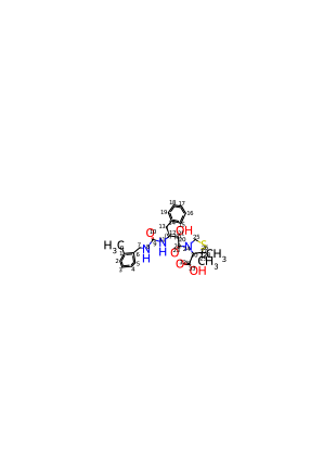 Cc1ccccc1CNC(=O)N[C@@H](Cc1ccccc1)[C@H](O)C(=O)N1CSC(C)(C)C1C(=O)O